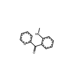 CNc1ccccc1C(=O)c1ccccn1